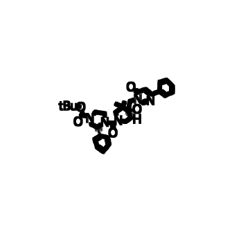 CC(C)(C)OC(=O)N1CCN(C(=O)N2CC[C@@](O)(Cn3cnc(-c4ccccc4)cc3=O)C(C)(C)C2)[C@H](c2ccccc2)C1